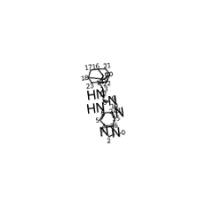 Cn1cnc2cc(NC(=NC#N)NCC34CC5CC(CC(C5)C3)C4)ccc21